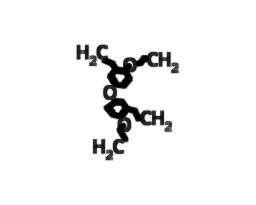 C=CCOc1ccc(Oc2ccc(OCC=C)c(CC=C)c2)cc1CC=C